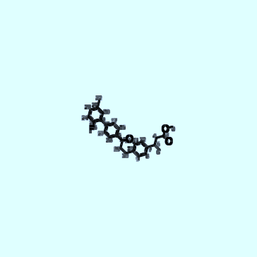 COC(=O)CC(C)c1ccc2c(c1)OC(c1ccc(-c3cc(C)ccc3F)cc1)CC2